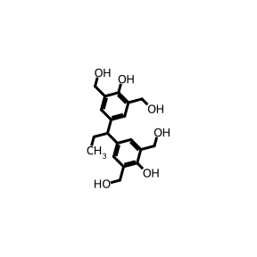 CCC(c1cc(CO)c(O)c(CO)c1)c1cc(CO)c(O)c(CO)c1